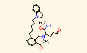 CNC(=O)C(CCC=O)N(C)Cc1c(C=O)cccc1CCCCCN1CCc2ccccc21